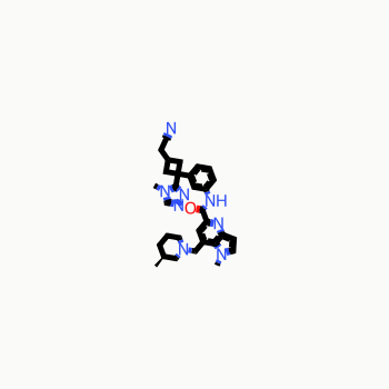 C[C@H]1CCCN(Cc2cc(C(=O)Nc3cccc(C4(c5nncn5C)CC(CC#N)C4)c3)nc3ccn(C)c23)C1